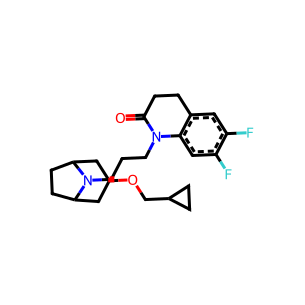 O=C1CCc2cc(F)c(F)cc2N1CCCN1C2CCC1CC(OCC1CC1)C2